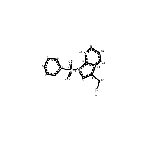 O=S(=O)(c1ccccc1)n1cc(CBr)c2cccnc21